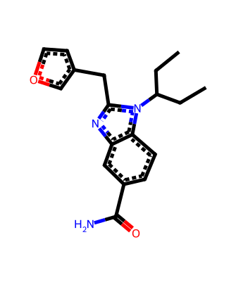 CCC(CC)n1c(Cc2ccoc2)nc2cc(C(N)=O)ccc21